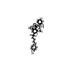 COc1cc(C(C)(C)CCCCN2CCN(C)CC2)cc(OC)c1C(=O)Nc1ccccc1